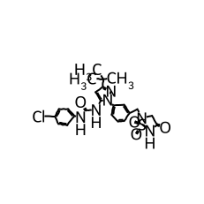 CC(C)(C)c1cc(NC(=O)Nc2ccc(Cl)cc2)n(-c2cccc(CN3CC(=O)NS3(=O)=O)c2)n1